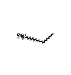 CCCCCCCC/C=C\CCCCCCCCCCCCOP(=O)(O)OP(C)(C)(C)CC